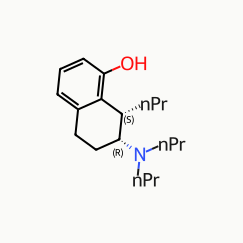 CCC[C@H]1c2c(O)cccc2CC[C@H]1N(CCC)CCC